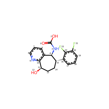 O=C(O)N[C@@H]1c2cccnc2[C@H](O)CC[C@H]1c1cccc(F)c1F